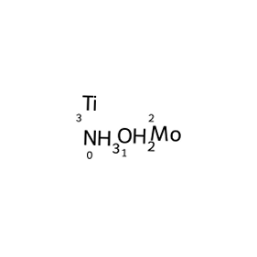 N.O.[Mo].[Ti]